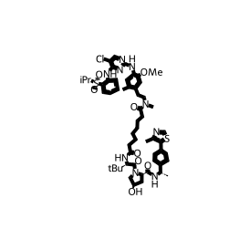 COc1cc(CCN(C)C(=O)CCCCCCC(=O)N[C@H](C(=O)N2C[C@H](O)C[C@H]2C(=O)N[C@@H](C)c2ccc(-c3scnc3C)cc2)C(C)(C)C)c(C)cc1Nc1ncc(Cl)c(Nc2ccccc2S(=O)(=O)C(C)C)n1